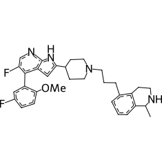 COc1ccc(F)cc1-c1c(F)cnc2[nH]c(C3CCN(CCCc4cccc5c4CCNC5C)CC3)cc12